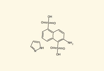 Nc1ccc2c(S(=O)(=O)O)cccc2c1S(=O)(=O)O.c1cn[nH]c1